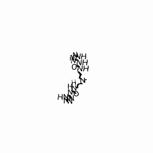 CN(CCCNC(=O)Nc1nnn[nH]1)CCCNC(=O)Nc1nnn[nH]1